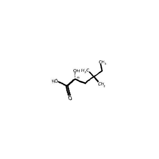 CCC(C)(C)C[C@@H](O)C(=O)O